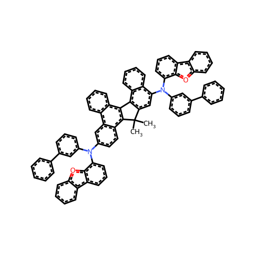 CC1(C)c2cc(N(c3cccc(-c4ccccc4)c3)c3cccc4c3oc3ccccc34)c3ccccc3c2-c2c1c1ccc(N(c3cccc(-c4ccccc4)c3)c3cccc4c3oc3ccccc34)cc1c1ccccc21